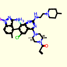 C=CC(=O)N1C[C@H](C)N(c2nc(NCCN3CCC(C)CC3)nc3c(F)c(-c4c(C)ccc5c4c(N)nn5I)c(Cl)cc23)C[C@H]1C